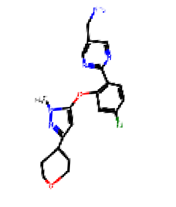 Cn1nc(C2CCOCC2)cc1Oc1cc(Cl)ccc1-c1ncc(CN)cn1